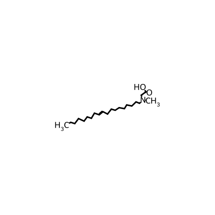 CCCCCCCCC=CCCCCCCCCCN(C)CC(=O)O